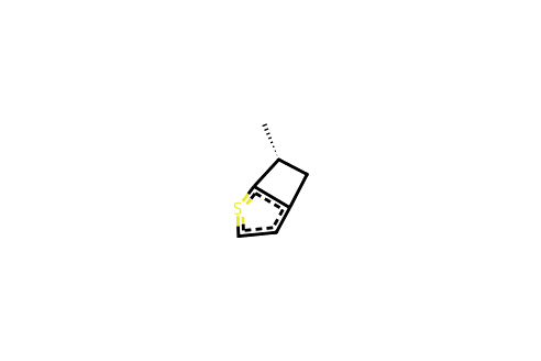 C[C@@H]1Cc2ccsc21